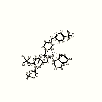 CC(C)(C)OC(=O)N(CCCCN(C[C@H]1CN(Cc2ccc(C(F)(F)F)cc2)CCN1C(=O)OC(C)(C)C)[C@H]1CCCc2cccnc21)C(=O)OC(C)(C)C